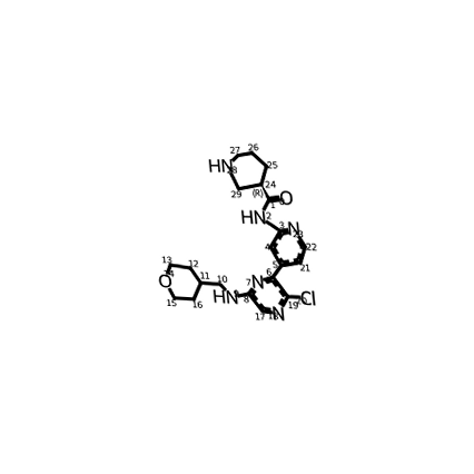 O=C(Nc1cc(-c2nc(NCC3CCOCC3)cnc2Cl)ccn1)[C@@H]1CCCNC1